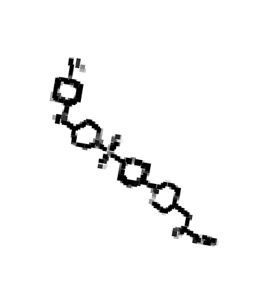 CNC(=O)CC1CCN(c2ccc(S(=O)(=O)N3CCC(Nc4ccc(C(F)(F)F)cn4)CC3)cc2)CC1